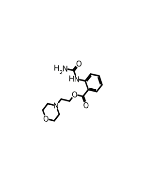 NC(=O)Nc1ccccc1C(=O)OCCN1CCOCC1